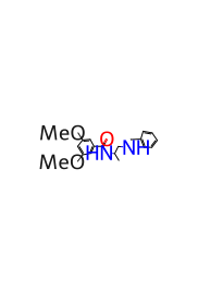 COc1cc(OC)cc(C(=O)NC(C)CNCc2ccccc2)c1